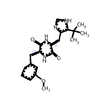 COc1cccc(/C=c2\[nH]c(=O)/c(=C/c3nc[nH]c3C(C)(C)C)[nH]c2=O)c1